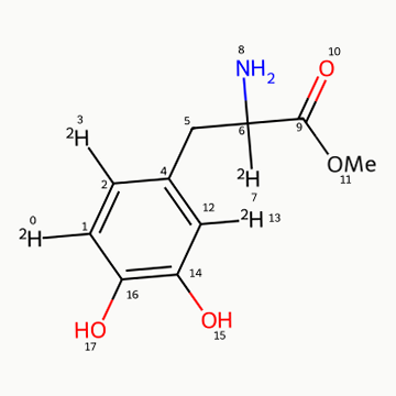 [2H]c1c([2H])c(CC([2H])(N)C(=O)OC)c([2H])c(O)c1O